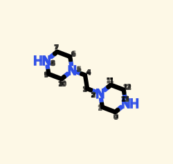 C1CN(CCN2CCNCC2)CCN1